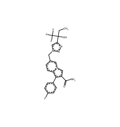 CCC(O)(c1cn(Cc2ccc3c(-c4ccc(F)cc4)c(C(N)=O)cn3c2)nn1)C(F)(F)F